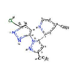 CCOC(=O)c1cc(-c2cc(OC)ccn2)n(-c2ccc(Cl)nn2)n1